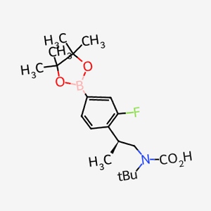 C[C@H](CN(C(=O)O)C(C)(C)C)c1ccc(B2OC(C)(C)C(C)(C)O2)cc1F